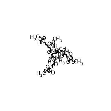 CCOC(=O)NCCCCC(NC(=O)OCC)C(=O)NC(CC(=O)NC(C)NC(=O)CCN1C(=O)CC(SC)C1=O)CC(=O)NC(C)NC(=O)CCN1C(=O)CC(SC)C1=O